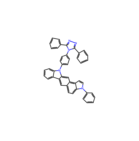 c1ccc(-c2nnc(-c3ccccc3)n2-c2ccc(-n3c4ccccc4c4cc5ccc6c(ccn6-c6ccccc6)c5cc43)cc2)cc1